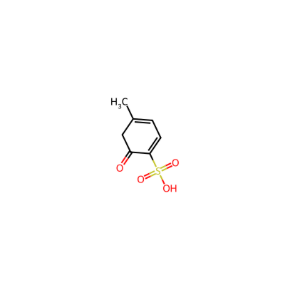 CC1=CC=C(S(=O)(=O)O)C(=O)C1